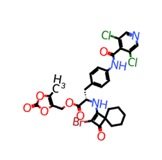 Cc1oc(=O)oc1COC(=O)[C@H](Cc1ccc(NC(=O)c2c(Cl)cncc2Cl)cc1)NC1=C(Br)C(=O)C12CCCCC2